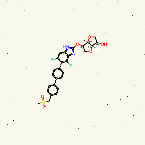 CS(=O)(=O)Cc1ccc(-c2ccc(-c3c(F)cc4[nH]c(O[C@@H]5CO[C@H]6[C@@H]5OC[C@H]6O)nc4c3F)cc2)cc1